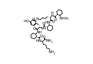 CC(=O)NC1CCCC[C@@H]1C(=O)N[C@@H](CCCCN)C(=O)NC1CCCC[C@@H]1C(=O)N[C@@H](Cc1ccc(O)cc1)C(=O)NC1CCCC[C@@H]1C(=O)NC(CCCCN)C(N)=O